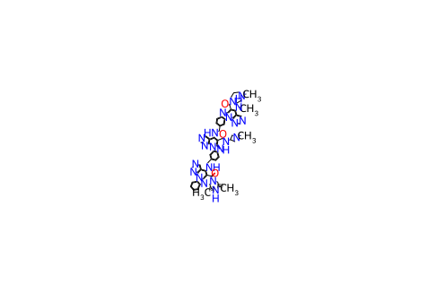 CNc1c(C(=O)N2CCCN(C)CC2)c2nc3ccc(CNc4c(C(=O)NC5CN(C)C5)c5nc6ccc(CNc7c(C(=O)N8C[C@@H](C)N[C@@H](C)C8)c8nc9ccccc9n8c8ncncc78)cc6n5c5ncncc45)cc3n2c2ncncc12